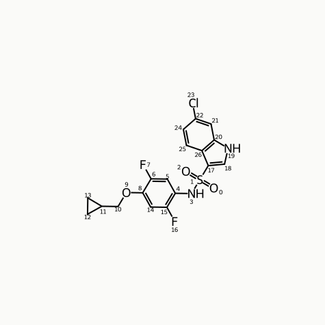 O=S(=O)(Nc1cc(F)c(OCC2CC2)cc1F)c1c[nH]c2cc(Cl)ccc12